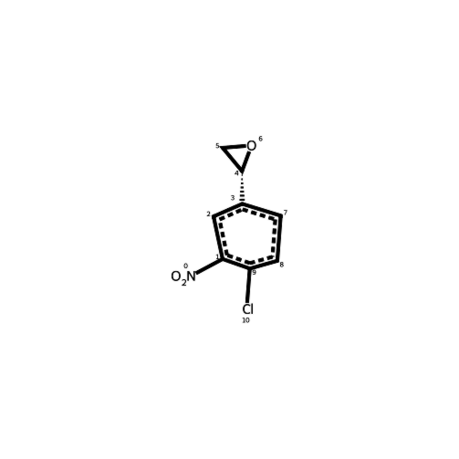 O=[N+]([O-])c1cc([C@@H]2CO2)ccc1Cl